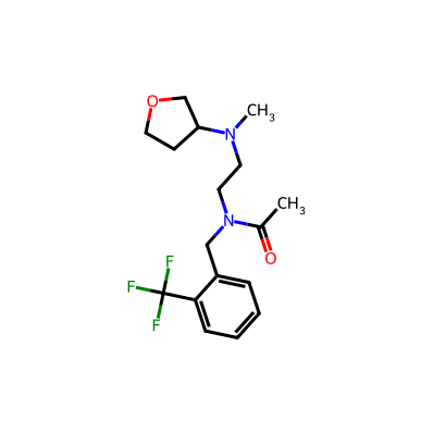 CC(=O)N(CCN(C)C1CCOC1)Cc1ccccc1C(F)(F)F